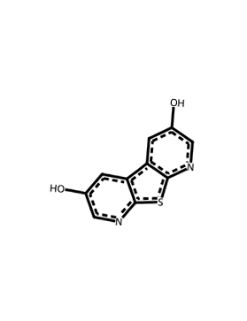 Oc1cnc2sc3ncc(O)cc3c2c1